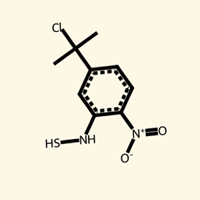 CC(C)(Cl)c1ccc([N+](=O)[O-])c(NS)c1